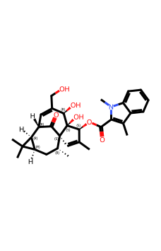 CC1=C[C@]23C(=O)[C@@H](C=C(CO)[C@@H](O)[C@]2(O)[C@H]1OC(=O)c1c(C)c2ccccc2n1C)[C@H]1[C@@H](C[C@H]3C)C1(C)C